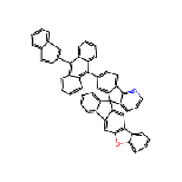 c1ccc2c(c1)-c1cc3oc4ccccc4c3cc1C21c2cc(-c3c4ccccc4c(-c4ccc5ccccc5c4)c4ccccc34)ccc2-c2ncccc21